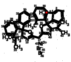 Cc1ccccc1C1(c2ccccc2C)OC(CC2=N[C@H](C(C)C)C(c3ccccc3C)(c3ccccc3C)O2)=N[C@@H]1C(C)C.[Br-].[Br-].[Ni+2]